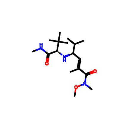 CNC(=O)[C@@H](N[C@H](/C=C(\C)C(=O)N(C)OC)C(C)C)C(C)(C)C